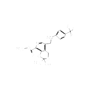 COC(=O)c1ncc(CNc2ccc(C(F)(F)F)cc2)c2c1OC(C)(C)OC2